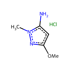 COc1cc(N)n(C)n1.Cl